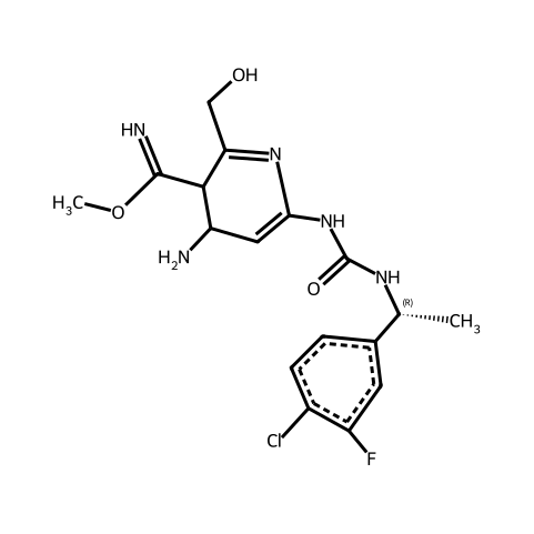 COC(=N)C1C(CO)=NC(NC(=O)N[C@H](C)c2ccc(Cl)c(F)c2)=CC1N